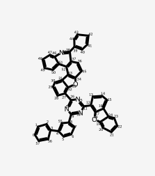 c1ccc(-c2cccc(-c3nc(-c4cccc5c4oc4ccccc45)nc(-c4cccc5c4oc4ccc6c(-c7ccccc7)nc7ccccc7c6c45)n3)c2)cc1